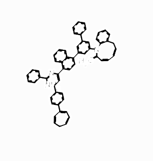 C=C1/C=C\C=C/Cc2ccccc2N1c1cc(-c2ccccc2)cc(-c2ccc(C(=C/Cc3ccc(C4=CC=CCC=C4)cc3)/N=C(\N)c3ccccc3)c3ccccc23)c1